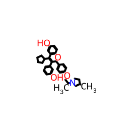 CC1CCN(C(C)COc2ccc(C3Oc4ccc(O)cc4C(C4CCCC4)=C3c3cccc(O)c3)cc2)C1